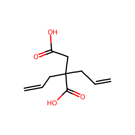 C=CCC(CC=C)(CC(=O)O)C(=O)O